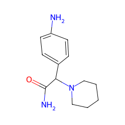 NC(=O)C(c1ccc(N)cc1)N1CCCCC1